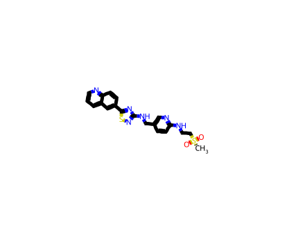 CS(=O)(=O)CCNc1ccc(CNc2nsc(-c3ccc4ncccc4c3)n2)cn1